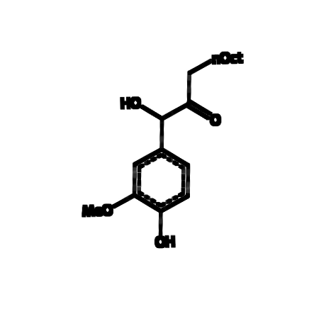 CCCCCCCCCC(=O)C(O)c1ccc(O)c(OC)c1